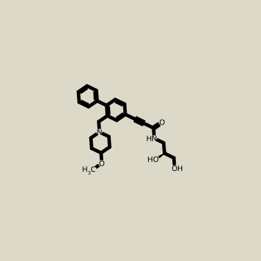 COC1CCN(Cc2cc(C#CC(=O)NC[C@H](O)CO)ccc2-c2ccccc2)CC1